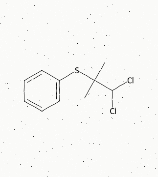 CC(C)(Sc1ccccc1)C(Cl)Cl